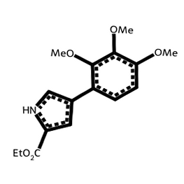 CCOC(=O)c1cc(-c2ccc(OC)c(OC)c2OC)c[nH]1